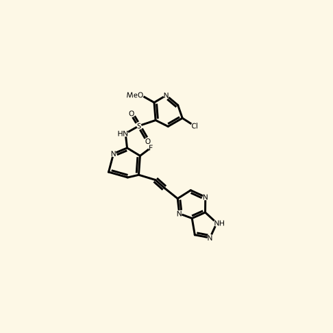 COc1ncc(Cl)cc1S(=O)(=O)Nc1nccc(C#Cc2cnc3[nH]ncc3n2)c1F